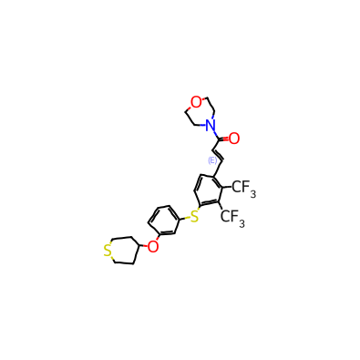 O=C(/C=C/c1ccc(Sc2cccc(OC3CCSCC3)c2)c(C(F)(F)F)c1C(F)(F)F)N1CCOCC1